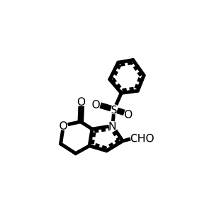 O=Cc1cc2c(n1S(=O)(=O)c1ccccc1)C(=O)OCC2